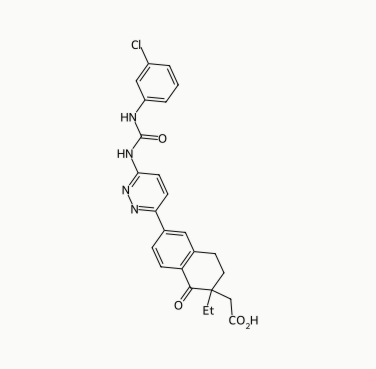 CCC1(CC(=O)O)CCc2cc(-c3ccc(NC(=O)Nc4cccc(Cl)c4)nn3)ccc2C1=O